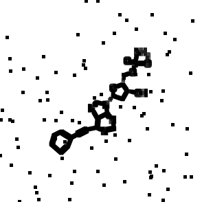 NS(=O)(=O)OC[C@H]1O[C@@H](n2cnc3c(C#Cc4ccccc4)ncnc32)C[C@@H]1O